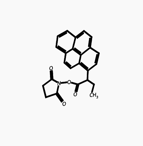 CCC(C(=O)ON1C(=O)CCC1=O)c1ccc2ccc3cccc4ccc1c2c34